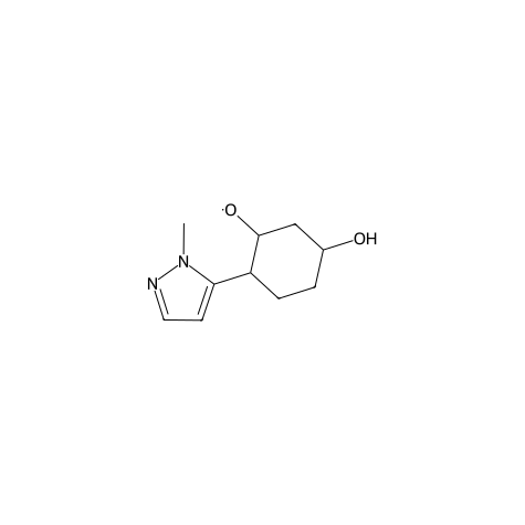 Cn1nccc1C1CCC(O)CC1[O]